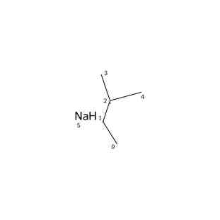 CC[C](C)C.[NaH]